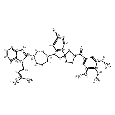 COc1cc(C(=O)N2CCC(CCN3CCCN(c4nc5ccccc5n4CC=C(C)C)CC3)(c3ccc(F)cc3)C2)cc(OC)c1OC